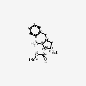 CC[C@H]1CN(Cc2ccccc2)C(N)[C@H]1C(=O)OC(C)(C)C